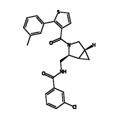 Cc1cccc(-c2sccc2C(=O)N2C[C@@H]3CC3[C@H]2CNC(=O)c2cccc(Cl)c2)c1